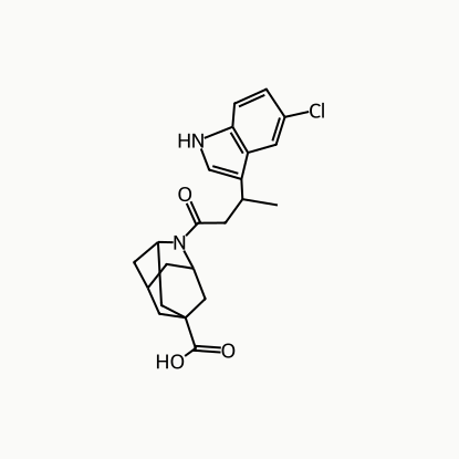 CC(CC(=O)N1C2CC3CC1CC(C(=O)O)(C3)C2)c1c[nH]c2ccc(Cl)cc12